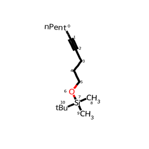 CCCCCC#CCCCO[Si](C)(C)C(C)(C)C